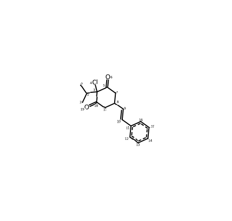 CC(C)C1(Cl)C(=O)CC(/C=C/c2ccccc2)CC1=O